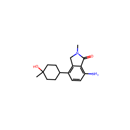 CN1Cc2c(C3CCC(C)(O)CC3)ccc(N)c2C1=O